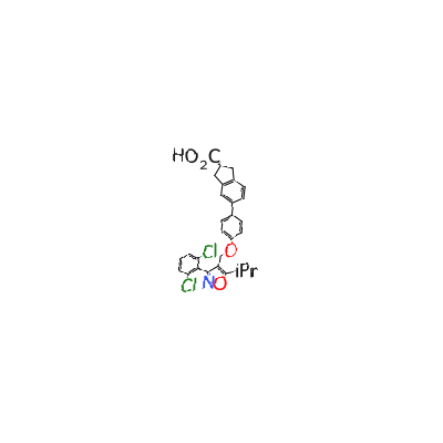 CC(C)c1onc(-c2c(Cl)cccc2Cl)c1COc1ccc(-c2ccc3c(c2)CC(C(=O)O)C3)cc1